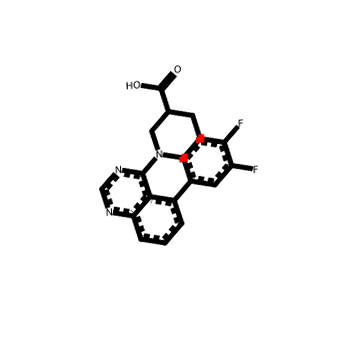 O=C(O)C1CCCN(c2ncnc3cccc(-c4ccc(F)c(F)c4)c23)C1